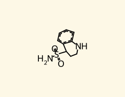 NS(=O)(=O)C1CCNc2ccccc21